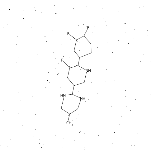 CC1CNC(C2CNC(C3CCC(F)C(F)C3)C(F)C2)NC1